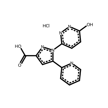 Cl.O=C(O)c1cc(-c2ccccn2)n(-c2ccc(O)nn2)n1